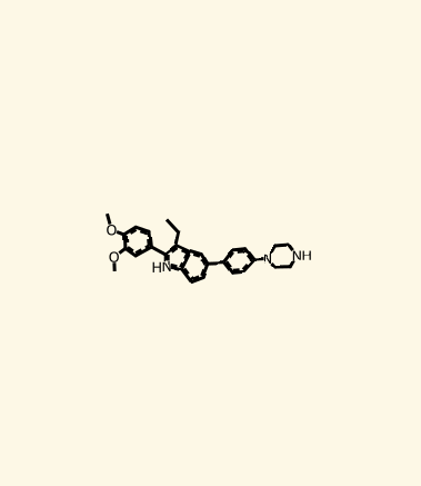 CCc1c(-c2ccc(OC)c(OC)c2)[nH]c2ccc(-c3ccc(N4CCNCC4)cc3)cc12